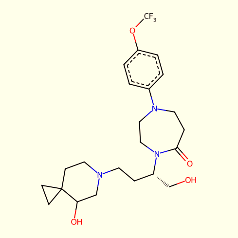 O=C1CCN(c2ccc(OC(F)(F)F)cc2)CCN1[C@H](CO)CCN1CCC2(CC2)C(O)C1